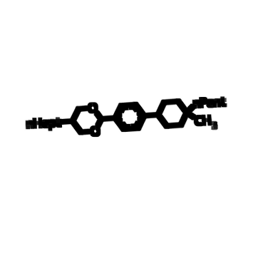 CCCCCCCC1COC(c2ccc(C3CCC(C)(CCCCC)CC3)cc2)OC1